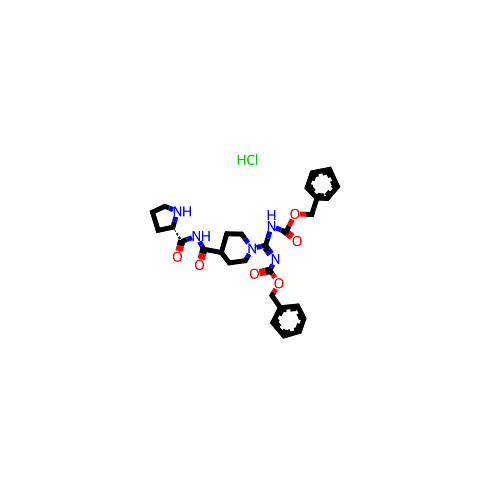 Cl.O=C(N=C(NC(=O)OCc1ccccc1)N1CCC(C(=O)NC(=O)[C@@H]2CCCN2)CC1)OCc1ccccc1